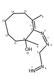 C/C1=C(\N=N/CN=N)C(C)(O)CCCCC1